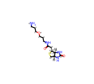 NCCCOCCCNC(=O)C[C@@H]1SC[C@@H]2NC(=O)N[C@@H]21